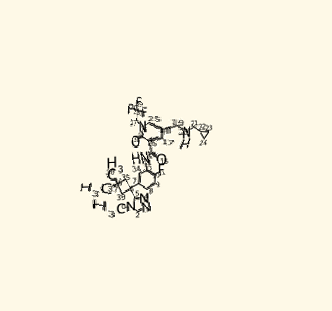 Cn1cnnc1C1(c2ccc(F)c(NC(=O)c3cc(CNCC4CC4)cn(CC(F)(F)F)c3=O)c2)CC(C)(C)C1